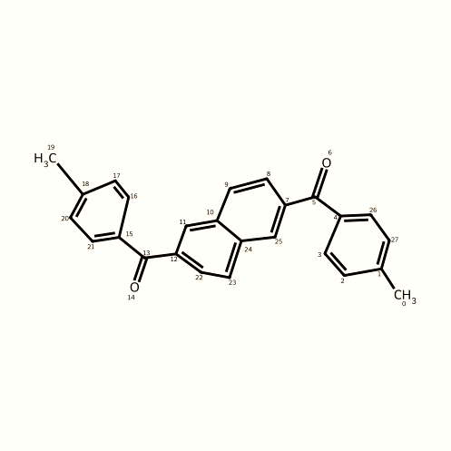 Cc1ccc(C(=O)c2ccc3cc(C(=O)c4ccc(C)cc4)ccc3c2)cc1